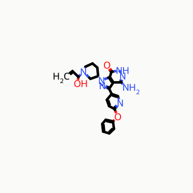 C=CC(O)N1CCCC(n2nc(-c3ccc(Oc4ccccc4)nc3)c3c(N)n[nH]c(=O)c32)C1